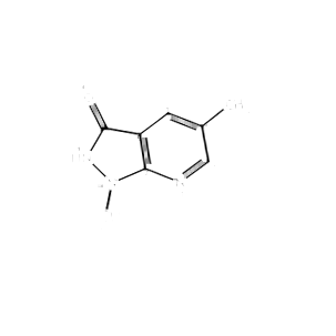 Cc1cnc2c(c1)c(=O)[nH]n2C